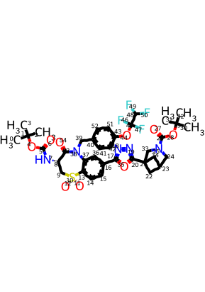 CC(C)(C)OC(=O)N[C@H]1CS(=O)(=O)c2ccc(-c3nnc(C45CC(CN(C(=O)OC(C)(C)C)C4)C5)o3)cc2N(Cc2ccc(OC(F)(F)C(F)F)cc2)C1=O